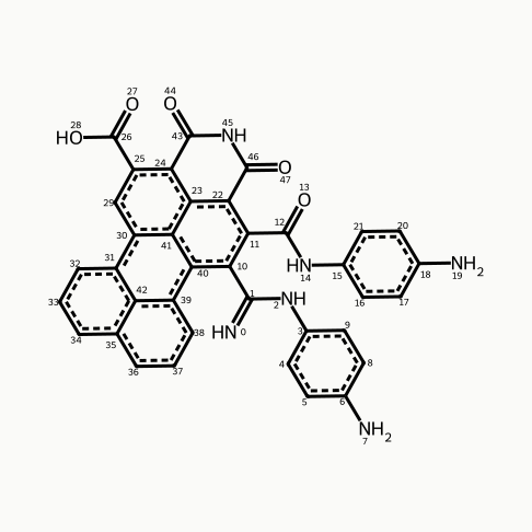 N=C(Nc1ccc(N)cc1)c1c(C(=O)Nc2ccc(N)cc2)c2c3c(c(C(=O)O)cc4c5cccc6cccc(c1c34)c65)C(=O)NC2=O